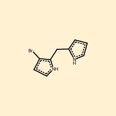 Brc1cc[nH]c1Cc1ccc[nH]1